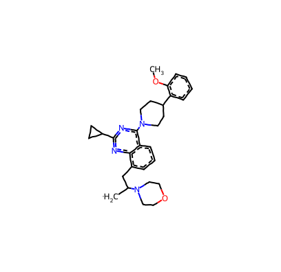 [CH2]C(Cc1cccc2c(N3CCC(c4ccccc4OC)CC3)nc(C3CC3)nc12)N1CCOCC1